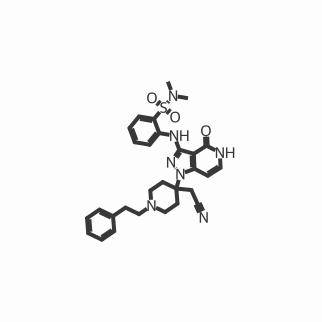 CN(C)S(=O)(=O)c1ccccc1Nc1nn(C2(CC#N)CCN(CCc3ccccc3)CC2)c2cc[nH]c(=O)c12